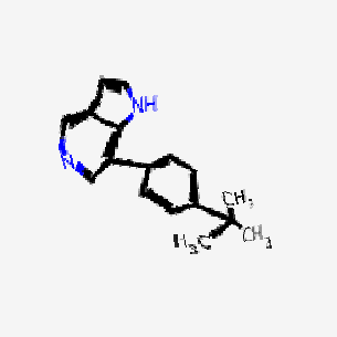 CC(C)(C)c1ccc(-c2cncc3cc[nH]c23)cc1